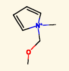 COC[N+]1(C)C=CC=C1